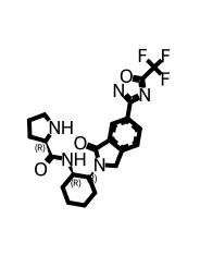 O=C(N[C@@H]1CCCC[C@H]1N1Cc2ccc(-c3noc(C(F)(F)F)n3)cc2C1=O)[C@H]1CCCN1